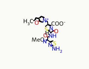 CO/N=C(\C(=O)NC1C(=O)N2C(C(=O)[O-])=C(C[n+]3ccc4cc(C)oc4c3)CS[C@H]12)c1csc(N)n1